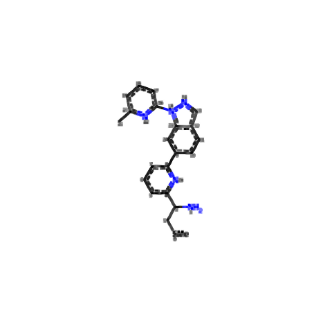 CSCC(N)c1cccc(-c2ccc3cnn(-c4cccc(C)n4)c3c2)n1